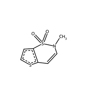 CN1C=Cc2sccc2S1(=O)=O